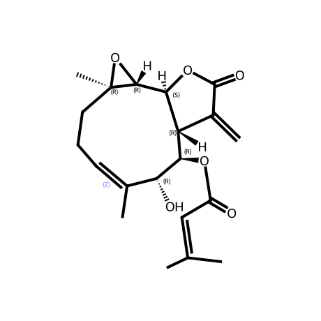 C=C1C(=O)O[C@H]2[C@H]1[C@@H](OC(=O)C=C(C)C)[C@H](O)/C(C)=C\CC[C@@]1(C)O[C@H]21